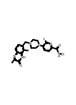 CCNC(=O)c1ccc(N2CCN(Cc3ccc4nc(C)c(=O)[nH]c4c3F)CC2)c(F)n1